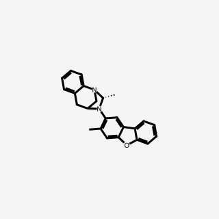 Cc1cc2oc3ccccc3c2cc1N1C2Cc3ccccc3N(C2)[C@@H]1C